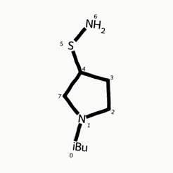 CCC(C)N1CCC(SN)C1